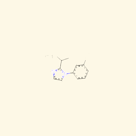 CCCCCCCC(C)c1nccn1-c1cccc(C(F)(F)F)c1